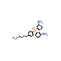 CC(F)CCCc1ccc(P(=O)(c2cccc(N)c2)c2cccc(N)c2)cc1